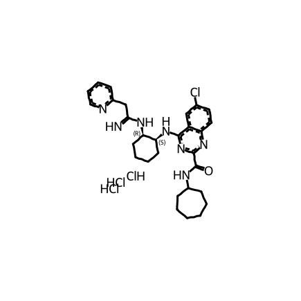 Cl.Cl.Cl.N=C(Cc1ccccn1)N[C@@H]1CCCC[C@@H]1Nc1nc(C(=O)NC2CCCCCC2)nc2ccc(Cl)cc12